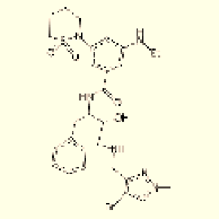 CCNc1cc(C(=O)N[C@@H](Cc2ccccc2)[C@H](O)CNCc2nn(C)cc2Br)cc(N2CCCCS2(=O)=O)c1